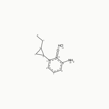 CCC1CC1n1cccc(N)c1=O.Cl